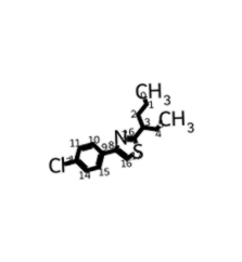 CCCC(CC)c1nc(-c2ccc(Cl)cc2)cs1